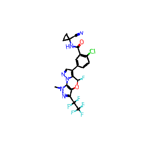 Cn1nc(C(F)(F)C(F)(F)F)c2c1-n1ncc(-c3ccc(Cl)c(C(=O)NC4(C#N)CC4)c3)c1C(F)O2